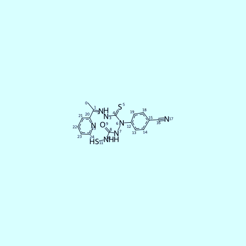 CC(=NNC(=S)N(NC(=O)NS)c1ccc(C#N)cc1)c1ccccn1